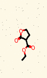 CCOC(=O)C1CCOC1=O